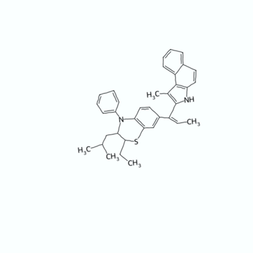 C/C=C(/c1ccc2c(c1)SC(CC)C(CC(C)C)N2c1ccccc1)c1[nH]c2ccc3ccccc3c2c1C